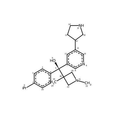 CC(C)c1ccc([C@](O)(c2cncc(C3CCNC3)c2)C2(C)CN(C)C2)cc1